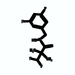 CC(C)(C(=O)N(O)Cc1cc(F)cc(F)c1)C(F)F